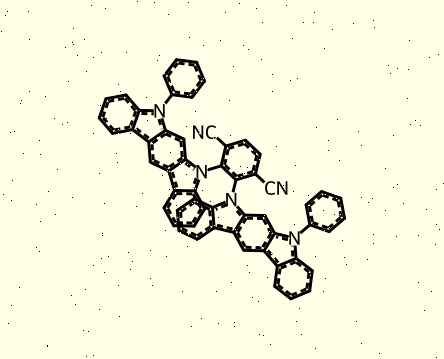 N#Cc1ccc(C#N)c(-n2c3ccccc3c3cc4c5ccccc5n(-c5ccccc5)c4cc32)c1-n1c2ccccc2c2cc3c4ccccc4n(-c4ccccc4)c3cc21